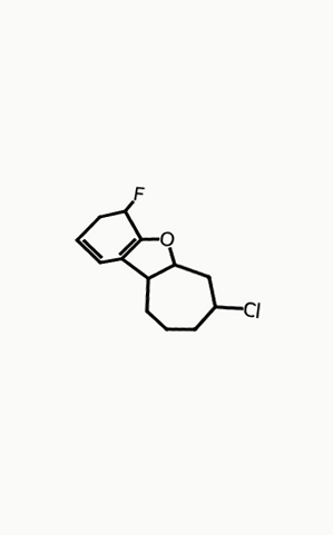 FC1CC=CC2=C1OC1CC(Cl)CCCC21